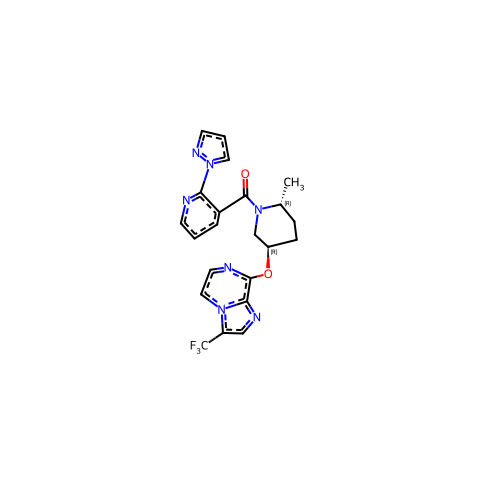 C[C@@H]1CC[C@@H](Oc2nccn3c(C(F)(F)F)cnc23)CN1C(=O)c1cccnc1-n1cccn1